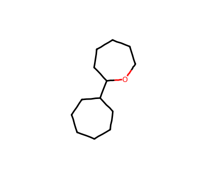 C1CCCC(C2CCCCCO2)CC1